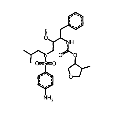 COC(CN(CC(C)C)S(=O)(=O)c1ccc(N)cc1)C(Cc1ccccc1)NC(=O)OC1COCC1C